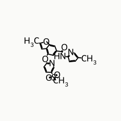 Cc1ccc(NC(=O)c2cc(Oc3ccc(S(C)(=O)=O)cn3)c3cc(C)oc3c2)nc1